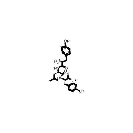 CC(C)C[C@@H](NC(=O)[C@@H](N)Cc1ccc(O)cc1)C(=O)N[C@@H](Cc1ccc(O)cc1)C(=O)O